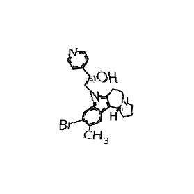 Cc1cc2c3c(n(C[C@@H](O)c4ccncc4)c2cc1Br)CCN1CCC[C@H]31